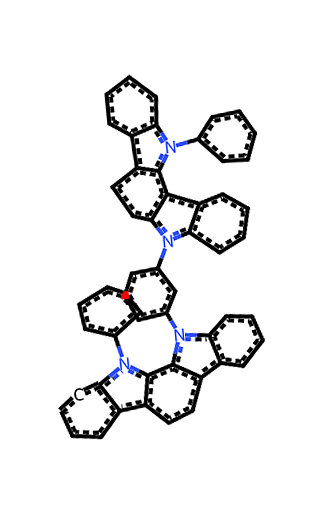 c1ccc(-n2c3ccccc3c3ccc4c(c5ccccc5n4-c4cccc(-n5c6ccccc6c6ccc7c8ccccc8n(-c8ccccc8)c7c65)c4)c32)cc1